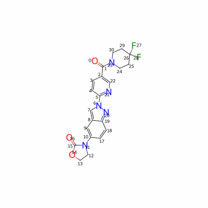 O=C(c1ccc(-n2cc3cc(N4CCOC4=O)ccc3n2)nc1)N1CCC(F)(F)CC1